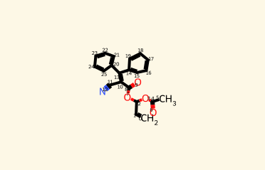 C=CC(OC(C)=O)OC(=O)C(C#N)=C(c1ccccc1)c1ccccc1